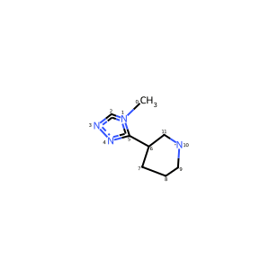 Cn1cnnc1C1CCC[N]C1